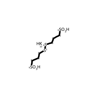 O=S(=O)(O)CCCSSCCCS(=O)(=O)O.[KH]